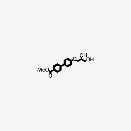 COC(=O)c1ccc(-c2ccc(OCC(O)CO)cc2)cc1